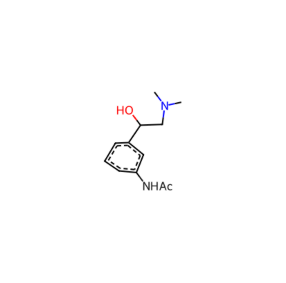 CC(=O)Nc1cccc(C(O)CN(C)C)c1